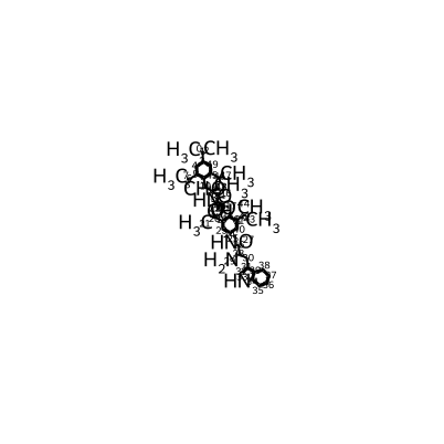 CC(C)c1cc(C(C)C)c(CC(=O)NS(=O)(=O)Oc2c(C(C)C)cc(NC(=O)C(N)Cc3c[nH]c4ccccc34)cc2C(C)C)c(C(C)C)c1